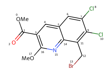 COC(=O)c1cc2cc(Cl)c(Cl)c(CBr)c2nc1OC